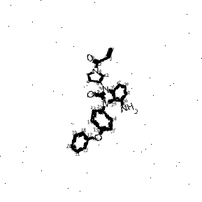 C=CC(=O)N1CC[C@@H](n2c(=O)n(-c3ccc(Oc4ccccc4)cc3)c3c(N)cccc32)C1